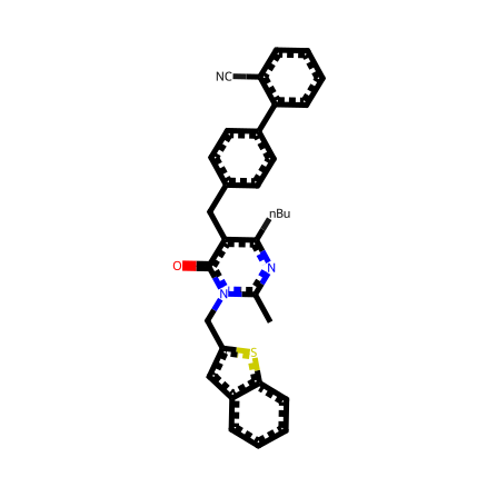 CCCCc1nc(C)n(Cc2cc3ccccc3s2)c(=O)c1Cc1ccc(-c2ccccc2C#N)cc1